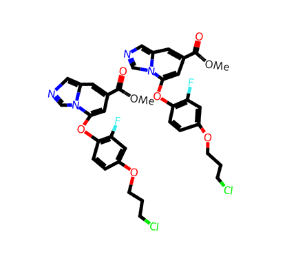 COC(=O)c1cc(Oc2ccc(OCCCCl)cc2F)n2cncc2c1.COC(=O)c1cc(Oc2ccc(OCCCCl)cc2F)n2cncc2c1